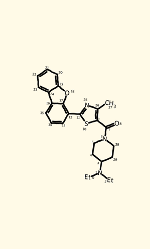 CCN(CC)C1CCN(C(=O)c2sc(-c3cccc4c3oc3ccccc34)nc2C)CC1